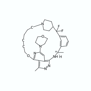 Cc1nnc2c3cc(N4CCOCC4)nc(c13)OCCCCCCN1CCC(CC1)C(F)(F)c1cccc(c1)[C@@H](C)N2